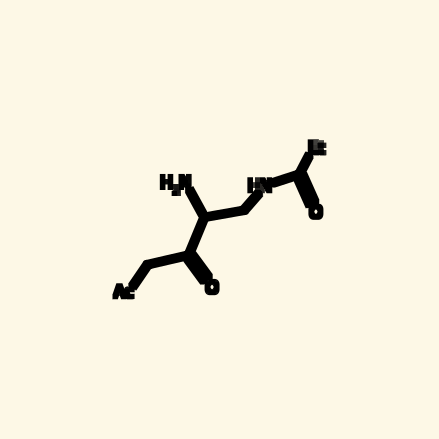 CCC(=O)NCC(N)C(=O)CC(C)=O